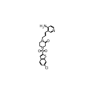 Nc1ccncc1/C=C/CN1CCN(S(=O)(=O)c2cc3ccc(Cl)cc3s2)CC1=O